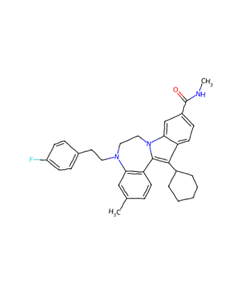 CNC(=O)c1ccc2c(C3CCCCC3)c3n(c2c1)CCN(CCc1ccc(F)cc1)c1cc(C)ccc1-3